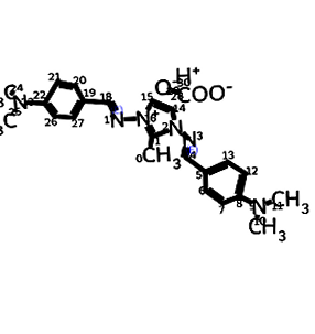 Cc1n(/N=C/c2ccc(N(C)C)cc2)cc[n+]1/N=C/c1ccc(N(C)C)cc1.O=C([O-])[O-].[H+]